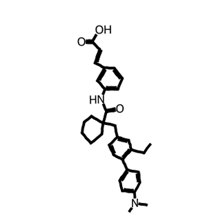 CCc1cc(CC2(C(=O)Nc3cccc(/C=C/C(=O)O)c3)CCCCC2)ccc1-c1ccc(N(C)C)cc1